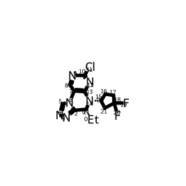 CC[C@@H]1c2nncn2-c2cnc(Cl)nc2N1[C@@H]1CCC(F)(F)C1